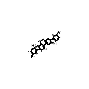 Brc1ccc2[nH]c3cc4c(cc3c2c1)CCc1c-4ccc2c1[nH]c1ccc(Br)cc12